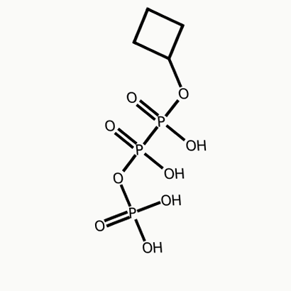 O=P(O)(O)OP(=O)(O)P(=O)(O)OC1CCC1